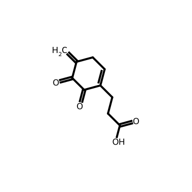 C=C1CC=C(CCC(=O)O)C(=O)C1=O